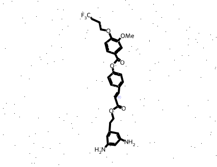 COc1cc(C(=O)Oc2ccc(/C=C/C(=O)OCCc3cc(N)cc(N)c3)cc2)ccc1OCCCC(F)(F)F